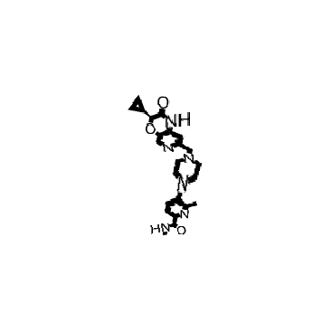 CNC(=O)c1ccc(N2CCN(Cc3cc4c(cn3)O[C@@H](C3CC3)C(=O)N4)CC2)c(C)n1